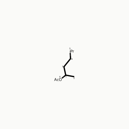 CC(=O)OC(C)CCC(C)C